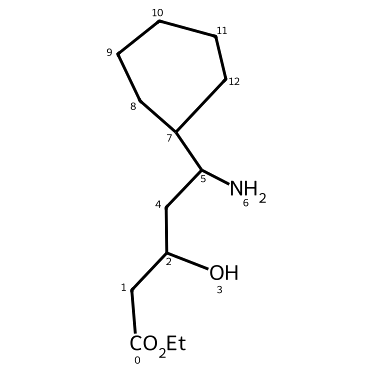 CCOC(=O)CC(O)CC(N)C1CCCCC1